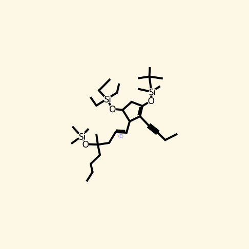 CCC#CC1=C(O[Si](C)(C)C(C)(C)C)CC(O[Si](CC)(CC)CC)C1/C=C/CC(C)(CCCC)O[Si](C)(C)C